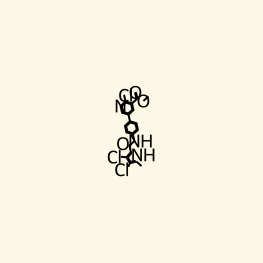 COC(=O)c1cc(-c2ccc(NC(=O)c3[nH]c(C)c(Cl)c3Cl)cc2)cnc1Cl